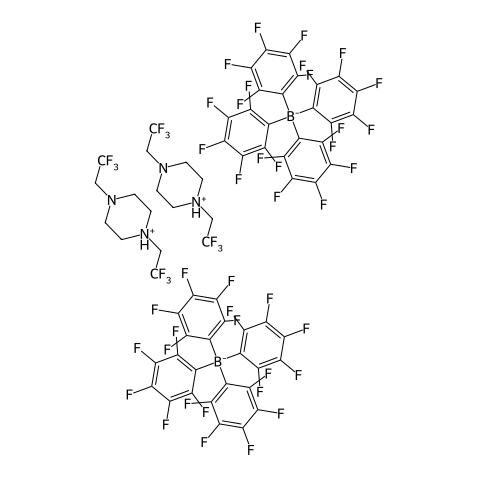 FC(F)(F)CN1CC[NH+](CC(F)(F)F)CC1.FC(F)(F)CN1CC[NH+](CC(F)(F)F)CC1.Fc1c(F)c(F)c([B-](c2c(F)c(F)c(F)c(F)c2F)(c2c(F)c(F)c(F)c(F)c2F)c2c(F)c(F)c(F)c(F)c2F)c(F)c1F.Fc1c(F)c(F)c([B-](c2c(F)c(F)c(F)c(F)c2F)(c2c(F)c(F)c(F)c(F)c2F)c2c(F)c(F)c(F)c(F)c2F)c(F)c1F